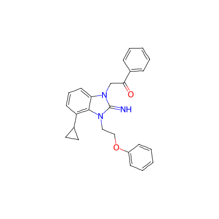 N=c1n(CC(=O)c2ccccc2)c2cccc(C3CC3)c2n1CCOc1ccccc1